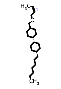 C/C=C\COCC1CCC([C@H]2CC[C@H](CCCCCCC)CC2)CC1